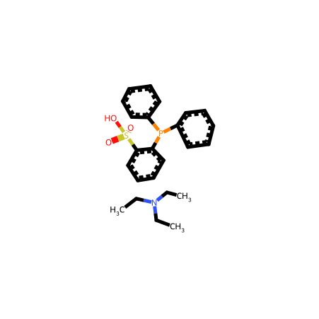 CCN(CC)CC.O=S(=O)(O)c1ccccc1P(c1ccccc1)c1ccccc1